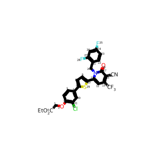 CCOC(=O)COc1ccc(-c2ccc(-c3cc(C(F)(F)F)c(C#N)c(=O)n3Cc3ccc(F)cc3F)s2)cc1Cl